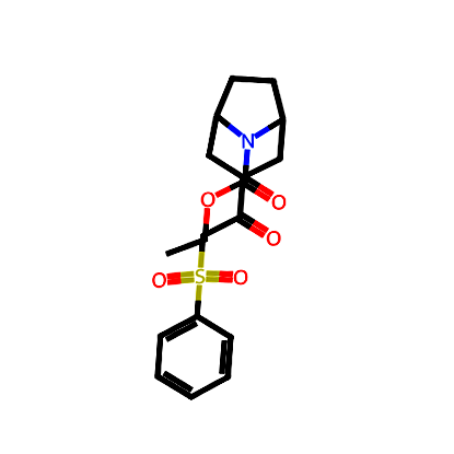 CCOC(=O)N1C2CCC1CC(C(=O)CS(=O)(=O)c1ccccc1)C2